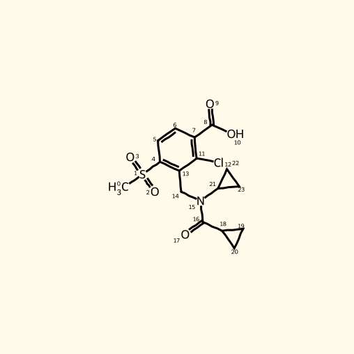 CS(=O)(=O)c1ccc(C(=O)O)c(Cl)c1CN(C(=O)C1CC1)C1CC1